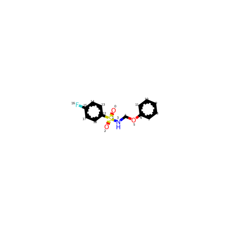 O=S(=O)(NCOc1ccccc1)c1ccc(F)cc1